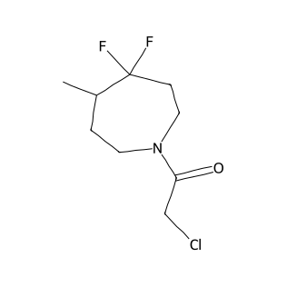 CC1CCN(C(=O)CCl)CCC1(F)F